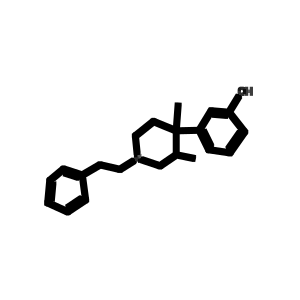 CC1CN(CCc2ccccc2)CCC1(C)c1cccc(O)c1